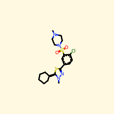 CN1CCN(S(=O)(=O)c2cc(C3=NN(C)C(=C4[CH]CCCC4)S3)ccc2Cl)CC1